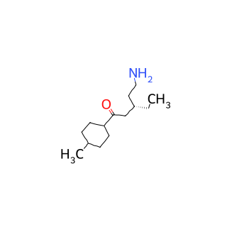 CC[C@@H](CCN)CC(=O)C1CCC(C)CC1